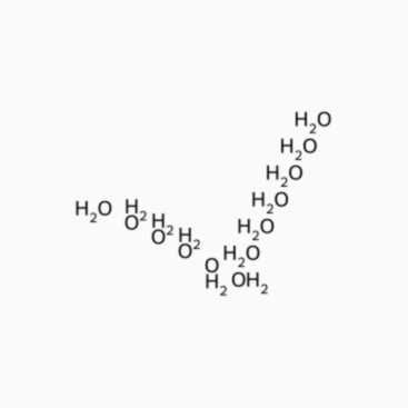 O.O.O.O.O.O.O.O.O.O.O.O